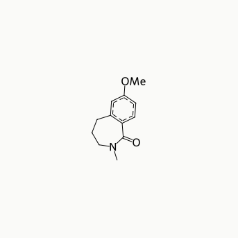 COc1ccc2c(c1)CCCN(C)C2=O